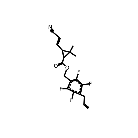 C=CCc1c(F)c(F)c(COC(=O)C2C(C=CC#N)C2(C)C)c(F)c1F